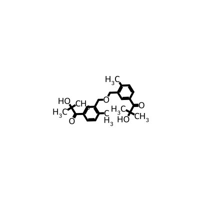 Cc1ccc(C(=O)C(C)(C)O)cc1COCc1cc(C(=O)C(C)(C)O)ccc1C